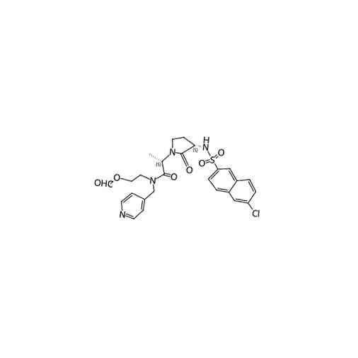 C[C@@H](C(=O)N(CCOC=O)Cc1ccncc1)N1CC[C@H](NS(=O)(=O)c2ccc3cc(Cl)ccc3c2)C1=O